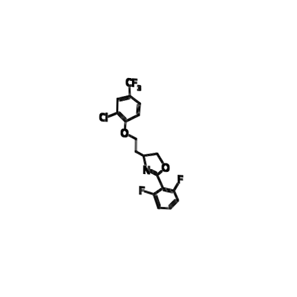 Fc1cccc(F)c1C1=NC(CCOc2ccc(C(F)(F)F)cc2Cl)CO1